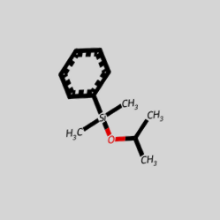 CC(C)O[Si](C)(C)c1ccccc1